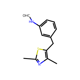 Cc1nc(C)c(Cc2cccc(NC=O)c2)s1